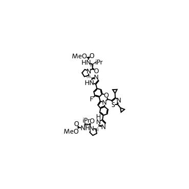 COC(=O)N[C@H](C(=O)N1CCC[C@H]1c1ncc(-c2cc(F)c3c(c2)OC(c2sc(C4CC4)nc2C2CC2)n2c-3cc3cc(-c4cnc([C@@H]5CCCN5C(=O)[C@@H](NC(=O)OC)C(C)C)[nH]4)ccc32)[nH]1)C(C)C